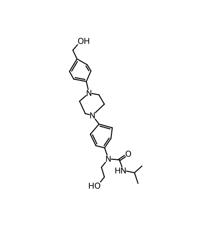 CC(C)NC(=O)N(CCO)c1ccc(N2CCN(c3ccc(CO)cc3)CC2)cc1